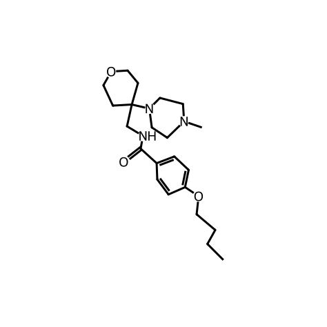 CCCCOc1ccc(C(=O)NCC2(N3CCN(C)CC3)CCOCC2)cc1